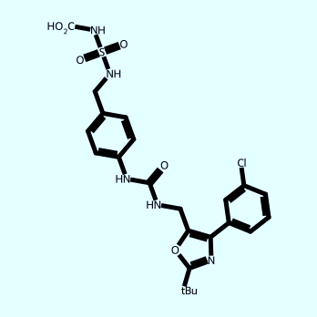 CC(C)(C)c1nc(-c2cccc(Cl)c2)c(CNC(=O)Nc2ccc(CNS(=O)(=O)NC(=O)O)cc2)o1